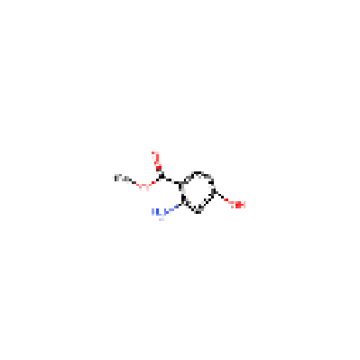 CC(C)(C)OC(=O)c1ccc(O)cc1N